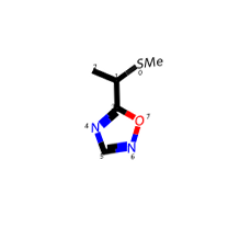 CSC(C)c1ncno1